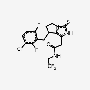 O=C(Cc1[nH]c(=S)n2c1C(Cc1c(F)ccc(Cl)c1F)CC2)NCC(F)(F)F